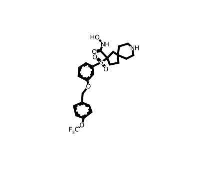 O=C(NO)C1(S(=O)(=O)c2cccc(OCc3ccc(OC(F)(F)F)cc3)c2)CCC2(CCNCC2)C1